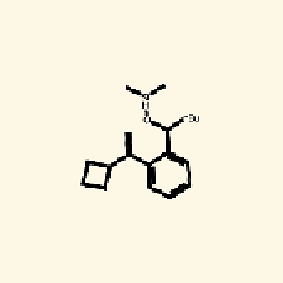 C=C(c1ccccc1C(CCCC)O[SiH](C)C)C1CCC1